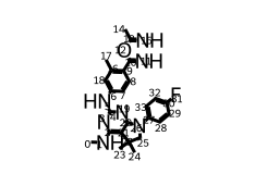 CNc1nc(Nc2ccc(C(=N)OC(C)=N)c(C)c2)nc2c1C(C)(C)CN2c1ccc(F)cc1